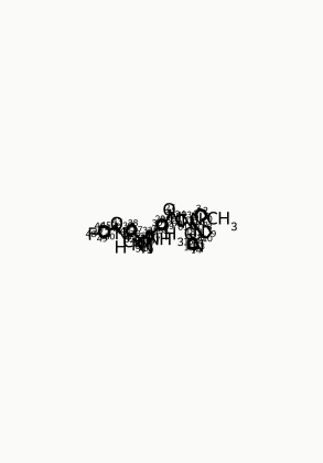 Cc1cccnc1[C@H]1CCC[C@@H](c2ncccc2C)N1CCN1CCN(C(=O)c2ccc(-c3cc4c(-c5cccc(NC(=O)c6ccc(F)cc6)c5C)ncnc4[nH]3)cc2)CC1